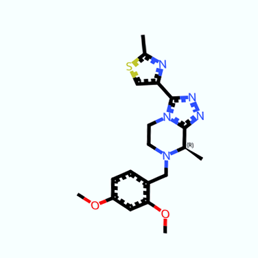 COc1ccc(CN2CCn3c(-c4csc(C)n4)nnc3[C@H]2C)c(OC)c1